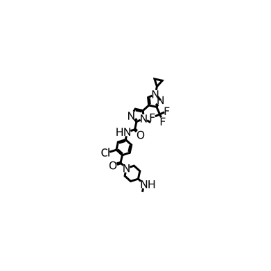 CNC1CCN(C(=O)c2ccc(NC(=O)c3ncc(-c4cn(C5CC5)nc4C(F)(F)F)n3C)cc2Cl)CC1